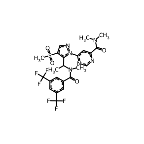 CC(c1c(S(C)(=O)=O)cnn1-c1cc(C(=O)N(C)C)ncn1)N(C)C(=O)c1cc(C(F)(F)F)cc(C(F)(F)F)c1